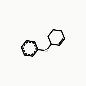 C1=CC(Oc2ccccc2)CCC1